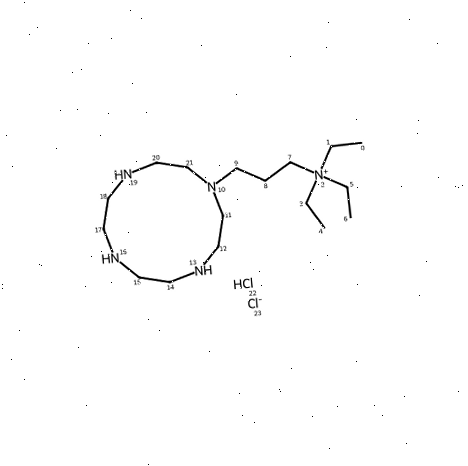 CC[N+](CC)(CC)CCCN1CCNCCNCCNCC1.Cl.[Cl-]